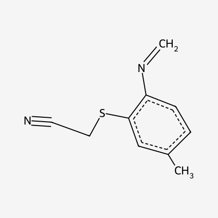 C=Nc1ccc(C)cc1SCC#N